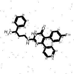 CC(CCNc1nc(-c2ccncc2)c(-c2ccc(F)cc2)c(=O)[nH]1)c1ccccc1